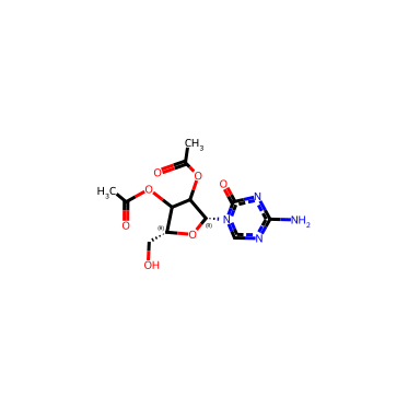 CC(=O)OC1C(OC(C)=O)[C@@H](CO)O[C@H]1n1cnc(N)nc1=O